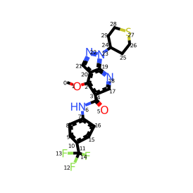 COc1c(C(=O)Nc2ccc(C(F)(F)F)cc2)cnc2c1cnn2C1CCSCC1